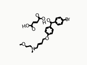 COCCN(C)C/C=C/COc1ccc(C(=O)c2ccc(Br)cc2)cc1.O=C(O)/C=C/C(=O)O